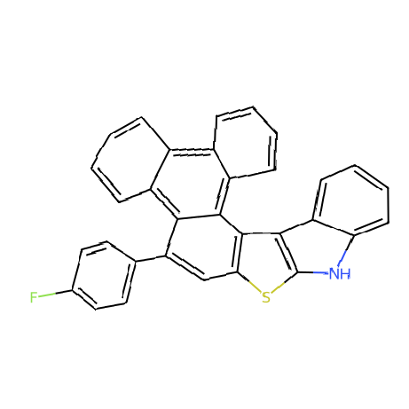 Fc1ccc(-c2cc3sc4[nH]c5ccccc5c4c3c3c4ccccc4c4ccccc4c23)cc1